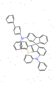 c1ccc(-c2ccc(N(c3ccccc3)c3ccc4c(c3)C3(c5ccccc5-4)c4cccc(N(c5ccccc5)c5ccccc5)c4-c4sc5ccccc5c43)cc2)cc1